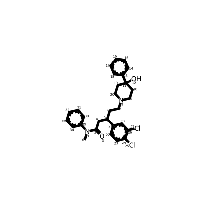 CN(C(=O)CC(CCN1CCC(O)(c2ccccc2)CC1)c1ccc(Cl)c(Cl)c1)c1ccccc1